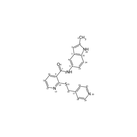 Cc1cc2cc(NC(=O)c3cccnc3SCc3ccncc3)ccc2[nH]1